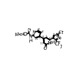 CCn1cc(-c2cc(-c3ccnc(NC(=O)OC)c3)cc(=O)[nH]2)c(C(F)(F)F)n1